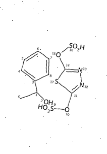 CC(O)c1ccccc1.O=S(=O)(O)Oc1nnc(OS(=O)(=O)O)s1